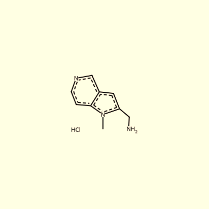 Cl.Cn1c(CN)cc2cnccc21